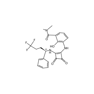 CN(C)C(=O)c1cccc(Nc2c(N[C@H](CCC(F)(F)F)c3ccccc3)c(=O)c2=O)c1O